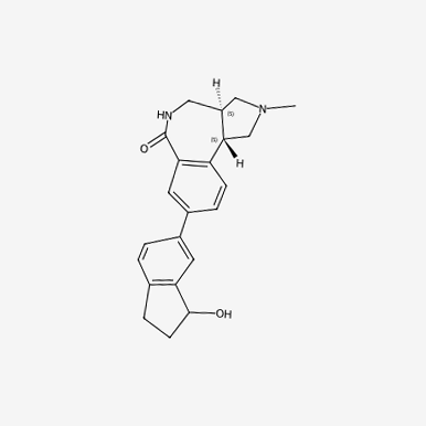 CN1C[C@@H]2CNC(=O)c3cc(-c4ccc5c(c4)C(O)CC5)ccc3[C@H]2C1